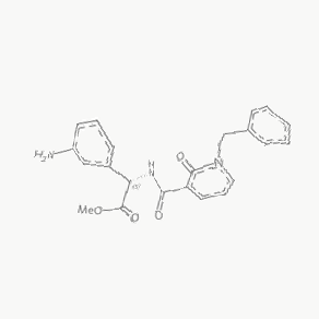 COC(=O)[C@@H](NC(=O)c1cccn(Cc2ccccc2)c1=O)c1cccc(N)c1